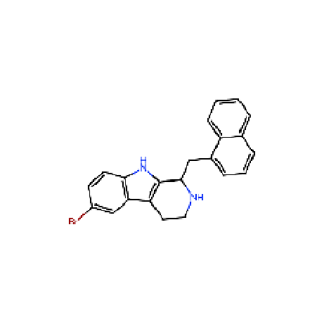 Brc1ccc2[nH]c3c(c2c1)CCNC3Cc1cccc2ccccc12